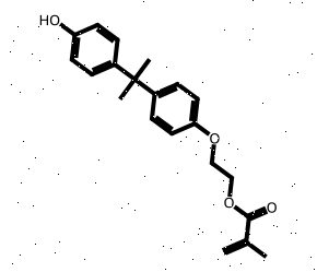 C=C(C)C(=O)OCCOc1ccc(C(C)(C)c2ccc(O)cc2)cc1